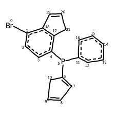 Brc1ccc(P(C2=CC=CC2)c2ccccc2)c2c1C=CC2